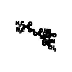 CC(=O)N[C@@H](C(=O)O)C(C)(C)SC(=O)OCOC(=O)C(C)C